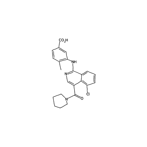 Cc1ccc(C(=O)O)cc1Nc1ncc(C(=O)N2CCCCC2)c2c(Cl)cccc12